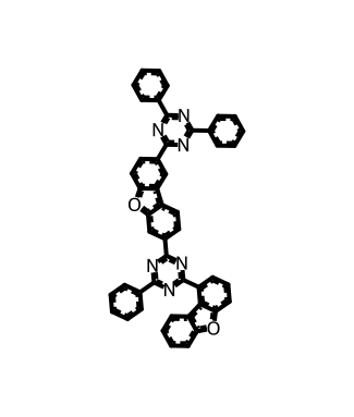 c1ccc(-c2nc(-c3ccccc3)nc(-c3ccc4oc5cc(-c6nc(-c7ccccc7)nc(-c7cccc8oc9ccccc9c78)n6)ccc5c4c3)n2)cc1